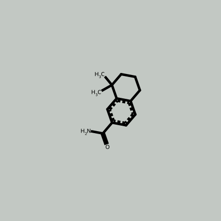 CC1(C)CCCc2ccc(C(N)=O)cc21